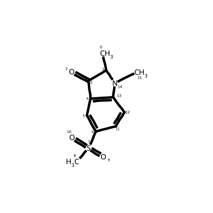 CC1C(=O)c2cc(S(C)(=O)=O)ccc2N1C